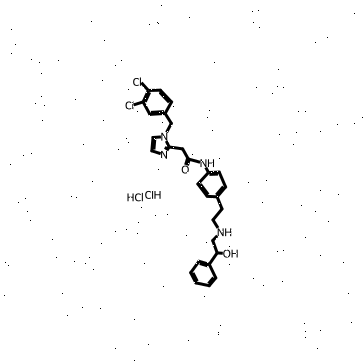 Cl.Cl.O=C(Cc1nccn1Cc1ccc(Cl)c(Cl)c1)Nc1ccc(CCNCC(O)c2ccccc2)cc1